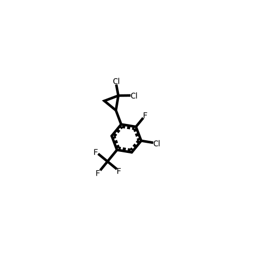 Fc1c(Cl)cc(C(F)(F)F)cc1C1CC1(Cl)Cl